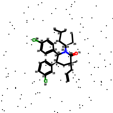 C=CC[C@@]1(C)C[C@H](c2cccc(Cl)c2)[C@@H](c2ccc(Cl)cc2)N([C@@H](CC)CC(C)C)C1=O